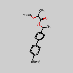 CCCCCCCc1ccc(-c2ccc(C(C)OC(=O)C(C)OCCCCC)cc2)cc1